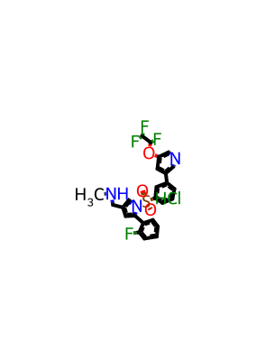 CNCc1cc(-c2ccccc2F)n(S(=O)(=O)c2cccc(-c3cncc(OC(F)C(F)F)c3)c2)c1.Cl